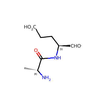 C[C@@H](N)C(=O)N[C@H]([C]=O)CCC(=O)O